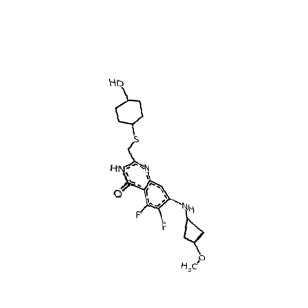 COC1CC(Nc2cc3nc(CSC4CCC(O)CC4)[nH]c(=O)c3c(F)c2F)C1